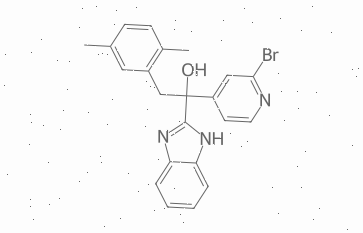 Cc1ccc(C)c(CC(O)(c2ccnc(Br)c2)c2nc3ccccc3[nH]2)c1